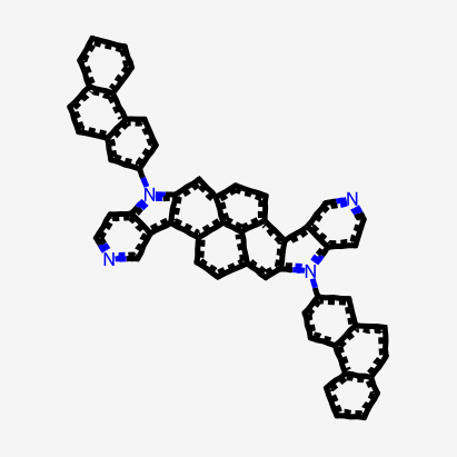 c1ccc2c(c1)ccc1cc(-n3c4ccncc4c4c5ccc6cc7c(c8ccc(cc43)c5c68)c3cnccc3n7-c3ccc4c(ccc5ccccc54)c3)ccc12